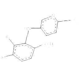 O=C(O)c1ccc(F)c(F)c1Nc1ccc(C(F)(F)F)nc1